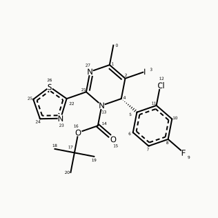 CC1=C(I)[C@H](c2ccc(F)cc2Cl)N(C(=O)OC(C)(C)C)C(c2nccs2)=N1